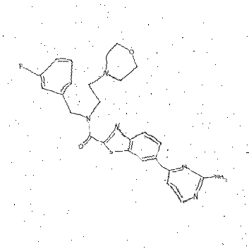 Nc1nccc(-c2ccc3nc(C(=O)N(CCN4CCOCC4)Cc4cccc(F)c4)sc3c2)n1